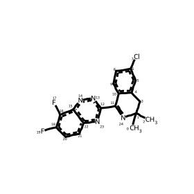 CC1(C)Cc2cc(Cl)ccc2C(c2nnc3c(F)c(F)ccc3n2)=N1